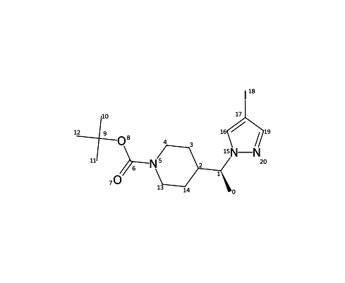 C[C@@H](C1CCN(C(=O)OC(C)(C)C)CC1)n1cc(I)cn1